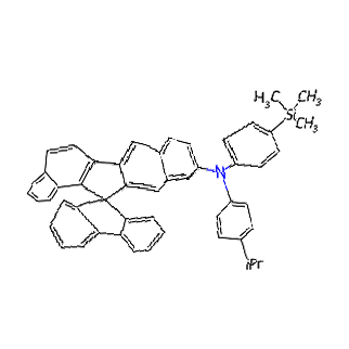 CC(C)c1ccc(N(c2ccc([Si](C)(C)C)cc2)c2ccc3cc4c(cc3c2)C2(c3ccccc3-c3ccccc32)c2c-4ccc3ccccc23)cc1